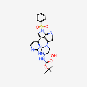 CC(C)(C)OC(=O)N[C@H]1CCN(c2ccnc3c2c(-c2ccnc(N)n2)cn3S(=O)(=O)c2ccccc2)C[C@@H]1O